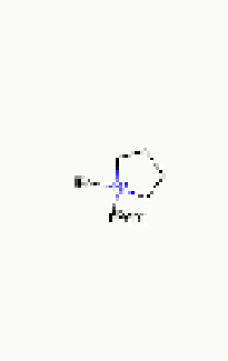 CCCCC[N+]1(C(C)C)CCCC1